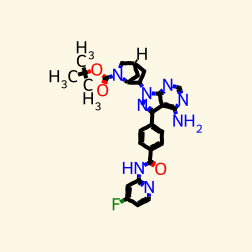 CC(C)(C)OC(=O)N1C[C@@H]2CC1C(n1nc(-c3ccc(C(=O)Nc4cc(F)ccn4)cc3)c3c(N)ncnc31)C2